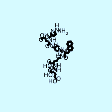 C[N+]1(C(=O)NC(Cc2ccc3ccccc3c2)C(=O)NCCCCC(NC(=O)NC(CCC(=O)O)C(=O)O)C(=O)O)CCC(CNC(=O)C(CCC(=O)O)NC(=O)c2ccc(NN)nc2)CC1